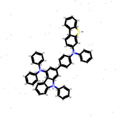 c1ccc(N(c2ccc(-c3cc(N(c4ccccc4)c4ccccc4)c4c5ccccc5n(-c5ccccc5)c4c3)cc2)c2ccc3c(c2)sc2ccccc23)cc1